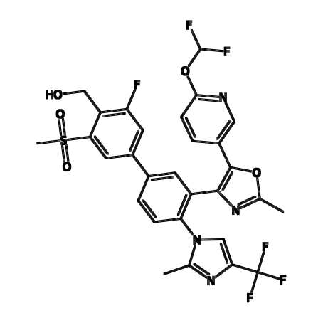 Cc1nc(-c2cc(-c3cc(F)c(CO)c(S(C)(=O)=O)c3)ccc2-n2cc(C(F)(F)F)nc2C)c(-c2ccc(OC(F)F)nc2)o1